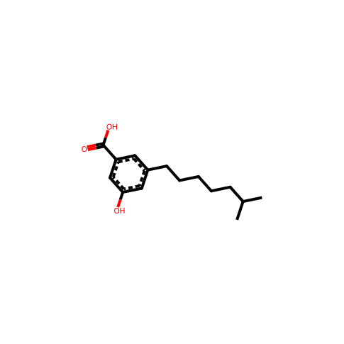 CC(C)CCCCCc1cc(O)cc(C(=O)O)c1